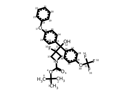 CC(C)(C)OC(=O)N1CC(F)(C(O)(c2ccc(Oc3ccccc3)cc2)c2ccc(OC(F)(F)F)cc2)C1